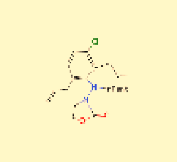 C=CCc1ccc(Cl)c(CC=C)c1N(CCCCC)N1CCOC1=O